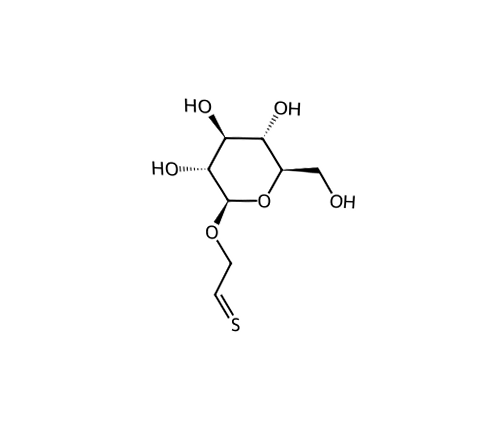 OC[C@H]1O[C@@H](OCC=S)[C@H](O)[C@@H](O)[C@@H]1O